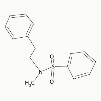 CN(CCc1ccccc1)S(=O)(=O)c1[c]cccc1